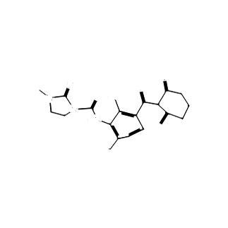 CN1CCN(C(=O)Nc2c(Cl)ccc(C(=O)C3C(=O)CCCC3=O)c2Cl)C1=O